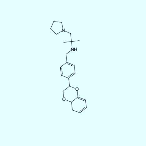 CC(C)(CN1CCCC1)NCc1ccc(C2COC3CC=CC=C3O2)cc1